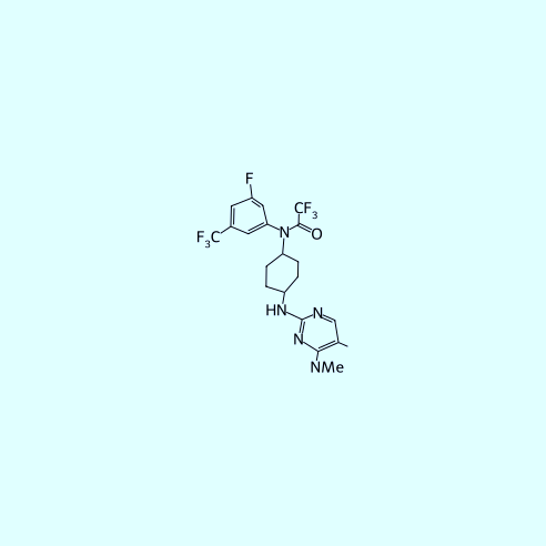 CNc1nc(NC2CCC(N(C(=O)C(F)(F)F)c3cc(F)cc(C(F)(F)F)c3)CC2)ncc1C